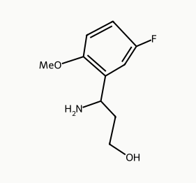 COc1ccc(F)cc1C(N)CCO